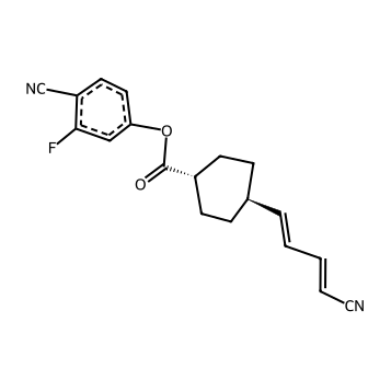 N#CC=CC=C[C@H]1CC[C@H](C(=O)Oc2ccc(C#N)c(F)c2)CC1